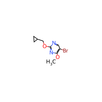 COc1nc(OCC2CC2)ncc1Br